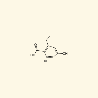 CCc1cc(O)ccc1C(=O)O.[KH]